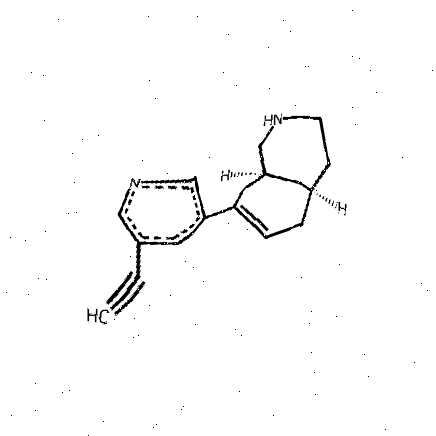 C#Cc1cncc(C2=CC[C@@H]3CCNC[C@H]23)c1